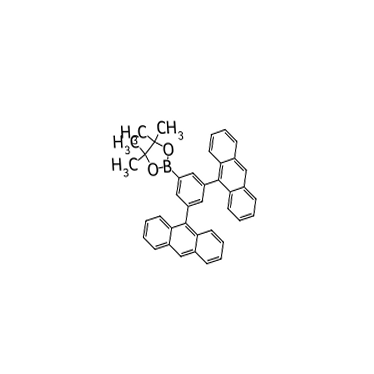 CC1(C)OB(c2cc(-c3c4ccccc4cc4ccccc34)cc(-c3c4ccccc4cc4ccccc34)c2)OC1(C)C